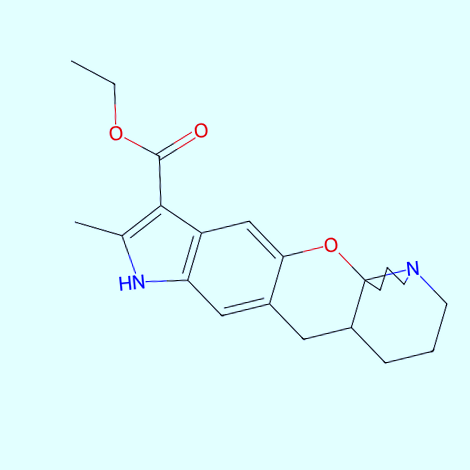 CCOC(=O)c1c(C)[nH]c2cc3c(cc12)OC12CCCN1CCCC2C3